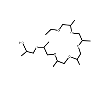 CCOCC(C)OCC(C)OCC(C)OCC(C)OCC(C)OCC(C)O